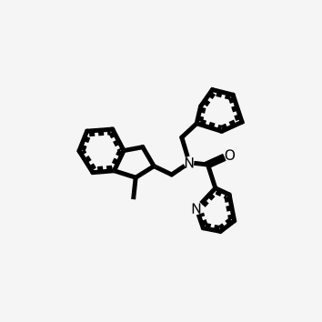 CC1c2ccccc2CC1CN(Cc1ccccc1)C(=O)c1ccccn1